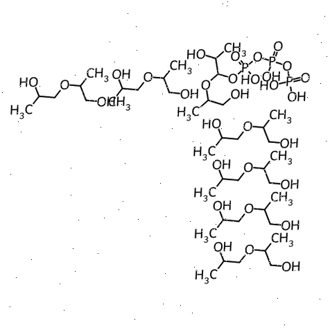 CC(CO)OC(OP(=O)(O)OP(=O)(O)OP(=O)(O)O)C(C)O.CC(O)COC(C)CO.CC(O)COC(C)CO.CC(O)COC(C)CO.CC(O)COC(C)CO.CC(O)COC(C)CO.CC(O)COC(C)CO